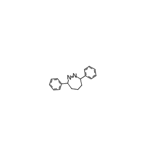 c1ccc(C2CCCC(c3ccccc3)N=N2)cc1